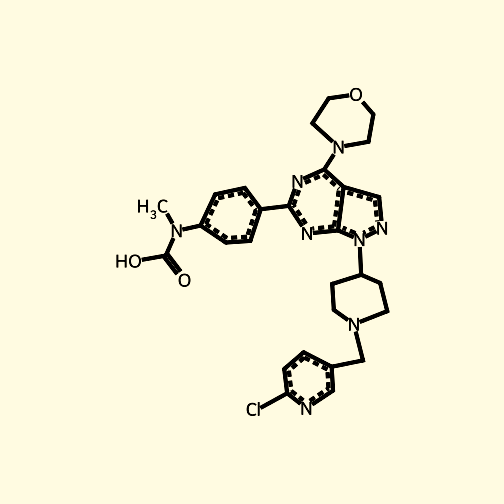 CN(C(=O)O)c1ccc(-c2nc(N3CCOCC3)c3cnn(C4CCN(Cc5ccc(Cl)nc5)CC4)c3n2)cc1